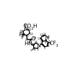 C[C@@H]1CN(c2ccc(C(F)(F)F)c3ncccc23)C[C@@H]1NC(=O)CC1CCN(C(=O)O)CC1(F)F